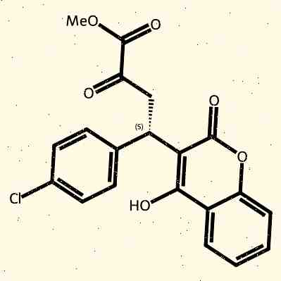 COC(=O)C(=O)C[C@@H](c1ccc(Cl)cc1)c1c(O)c2ccccc2oc1=O